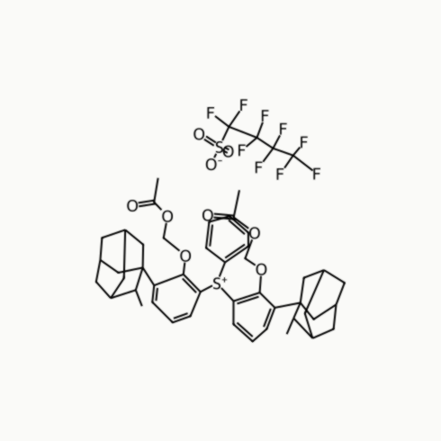 CC(=O)OCOc1c([S+](c2ccccc2)c2cccc(C34CC5CC(CC(C5)C3C)C4)c2OCOC(C)=O)cccc1C12CC3CC(CC(C3)C1C)C2.O=S(=O)([O-])C(F)(F)C(F)(F)C(F)(F)C(F)(F)F